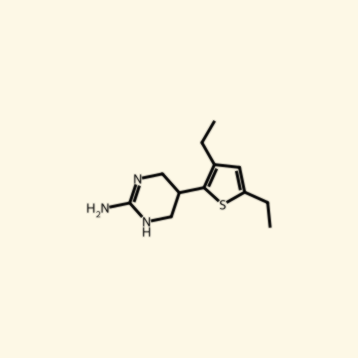 CCc1cc(CC)c(C2CN=C(N)NC2)s1